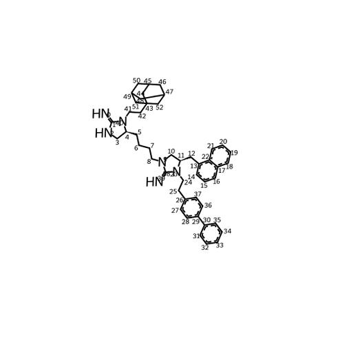 N=C1NC[C@H](CCCCN2C[C@@H](Cc3cccc4ccccc34)N(CCc3ccc(-c4ccccc4)cc3)C2=N)N1CCC12CC3CC(CC(C3)C1)C2